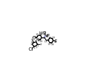 Cc1cc(Cl)cc(C)c1-n1cc(/C(Cc2ccc(F)cc2F)=N\O)ccc1=O